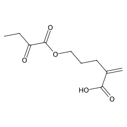 C=C(CCCOC(=O)C(=O)CC)C(=O)O